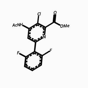 COC(=O)c1nc(-c2c(F)cccc2F)cc(NC(C)=O)c1Cl